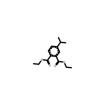 CCOC(=O)c1ccc(C(C)C)cc1C(=O)OCC